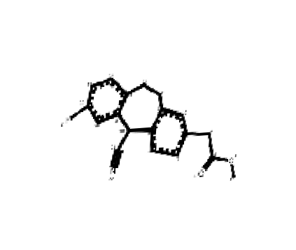 COC(=O)Cc1ccc2c(c1)CCc1ccc(F)cc1C2C#N